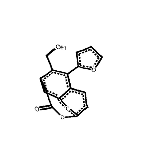 O=C1Oc2ccc3c(-c4ccco4)c(CO)c1cc3c2